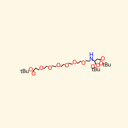 CC(C)(C)OC(=O)CCOCCOCCOCCOCCOCCOCCNC(CC(=O)OC(C)(C)C)C(=O)OC(C)(C)C